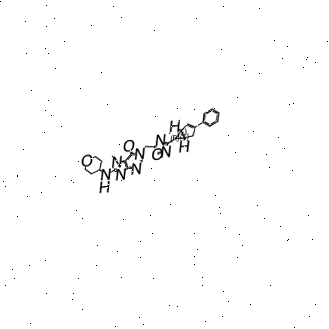 Cn1c(NC2CCOCC2)nc2ncn(Cc3nc([C@H]4[C@@H]5C=C(c6ccccc6)C[C@@H]54)no3)c(=O)c21